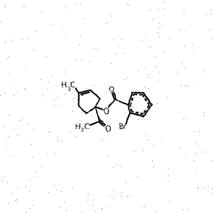 CC(=O)C1(OC(=O)c2ccccc2Br)CC=C(C)CC1